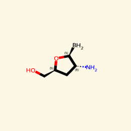 B[C@@H]1O[C@H](CO)C[C@H]1N